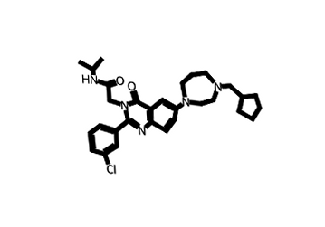 CC(C)NC(=O)Cn1c(-c2cccc(Cl)c2)nc2ccc(N3CCCN(CC4CCCC4)CC3)cc2c1=O